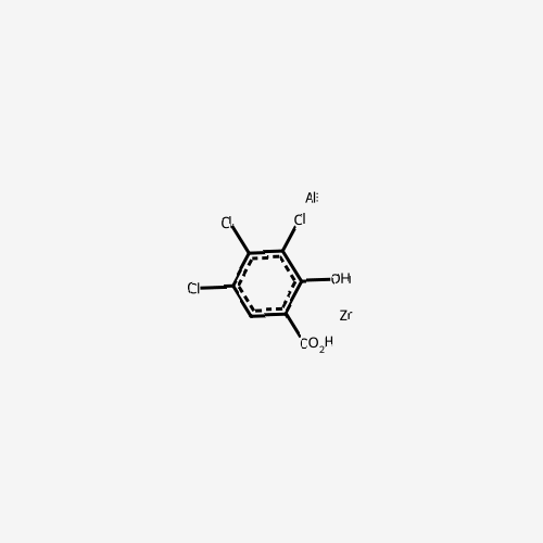 O=C(O)c1cc(Cl)c(Cl)c(Cl)c1O.[Al].[Zr]